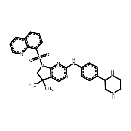 CC1(C)CN(S(=O)(=O)c2cccc3cccnc23)c2nc(Nc3ccc(C4CNCCN4)cc3)ncc21